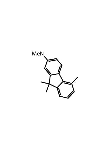 CNc1ccc2c(c1)C(C)(C)c1cccc(C)c1-2